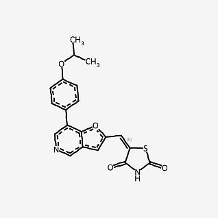 CC(C)Oc1ccc(-c2cncc3cc(/C=C4/SC(=O)NC4=O)oc23)cc1